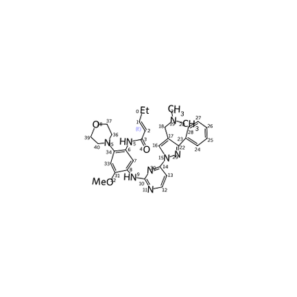 CC/C=C/C(=O)Nc1cc(Nc2nccc(-n3cc(CN(C)C)c(-c4ccccc4)n3)n2)c(OC)cc1N1CCOCC1